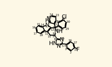 Fc1ccc(-c2n[nH]c([C@H]3Cc4c([nH]c5ccccc45)C(c4cccnc4)(c4cccc(Cl)c4)N3)n2)cc1